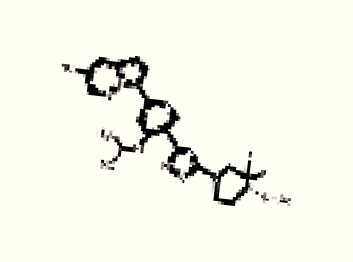 CC(=O)N[C@@H]1CCN(c2nnc(-c3cnc(-c4ccc5cc(C#N)cnn45)cc3N[C@H](C)C#N)s2)CC1(F)F